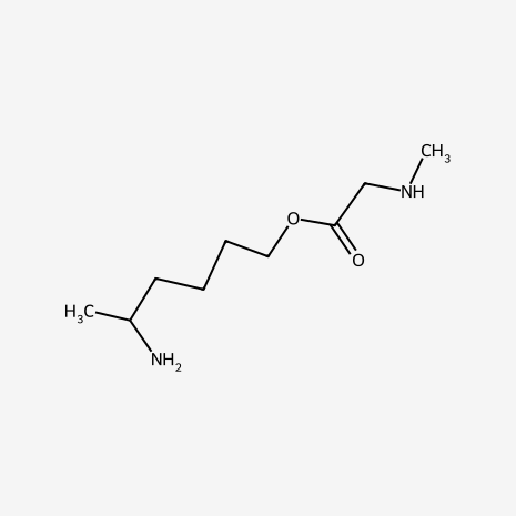 CNCC(=O)OCCCCC(C)N